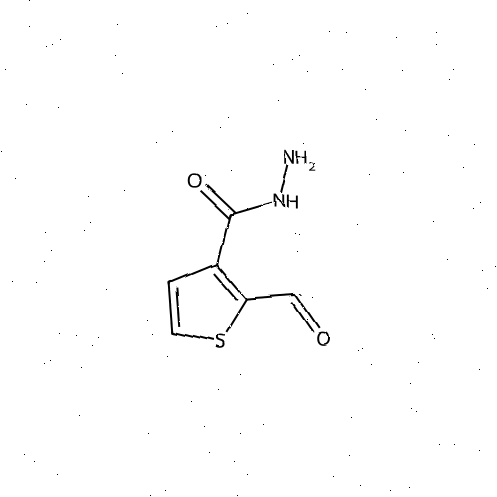 NNC(=O)c1ccsc1[C]=O